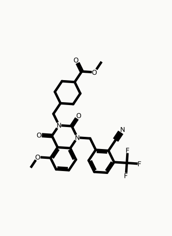 COC(=O)C1CCC(Cn2c(=O)c3c(OC)cccc3n(Cc3cccc(C(F)(F)F)c3C#N)c2=O)CC1